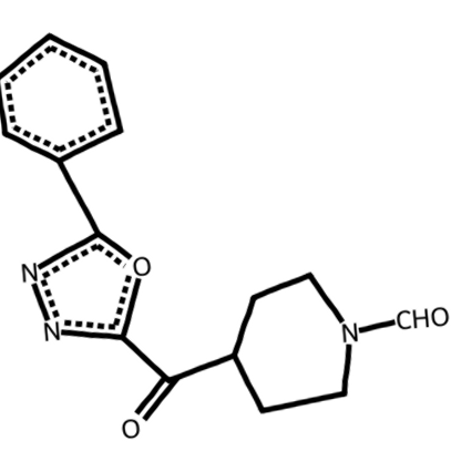 O=CN1CCC(C(=O)c2nnc(-c3ccccc3)o2)CC1